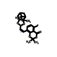 CC1(C)OC(=O)c2c(F)ccc(/C=C\B3OC4CC5CC(C5(C)C)[C@]4(C)O3)c2O1